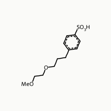 COCCOCCCc1ccc(S(=O)(=O)O)cc1